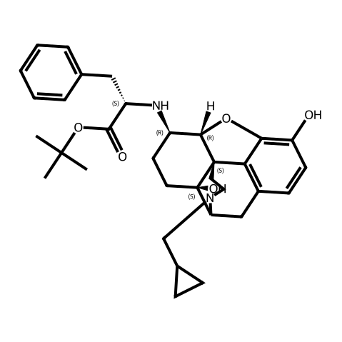 CC(C)(C)OC(=O)[C@H](Cc1ccccc1)N[C@@H]1CC[C@@]2(O)C3Cc4ccc(O)c5c4[C@@]2(CCN3CC2CC2)[C@H]1O5